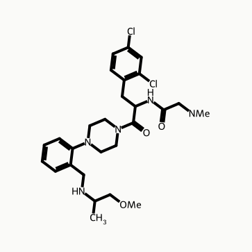 CNCC(=O)NC(Cc1ccc(Cl)cc1Cl)C(=O)N1CCN(c2ccccc2CNC(C)COC)CC1